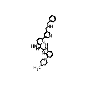 CN1CCN(c2cccc3[nH]c(-c4n[nH]c5ccc(-c6cncc(CNCc7ccccc7)c6)nc45)nc23)CC1